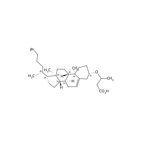 CC(C)CCC[C@@H](C)[C@H]1CC[C@H]2[C@@H]3CC=C4C[C@@H](OC(C)CC(=O)O)CC[C@]4(C)[C@H]3CC[C@]12C